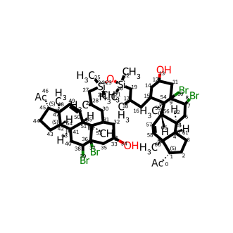 CC(=O)[C@H]1CC[C@H]2[C@@H]3CC(Br)C4(Br)CC(O)CC(CC(C)C[Si](C)(C)O[Si](C)(C)CC(C)CC5CC(O)CC6(Br)C(Br)C[C@H]7[C@@H]8CC[C@H](C(C)=O)[C@@]8(C)C=C[C@@H]7[C@@]56C)[C@]4(C)[C@H]3C=C[C@]12C